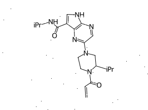 C=CC(=O)N1CCN(c2cnc3[nH]cc(C(=O)NC(C)C)c3n2)CC1C(C)C